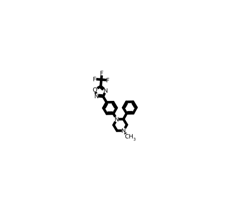 CN1CCN(c2ccc(-c3noc(C(F)(F)F)n3)cc2)C(c2ccccc2)C1